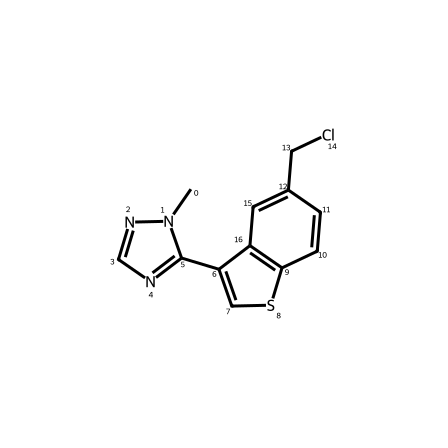 Cn1ncnc1-c1csc2ccc(CCl)cc12